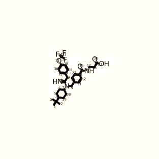 CC(C)(C)C1CCC(N(Cc2ccc(C(=O)NCCC(=O)O)cc2)C(=N)Cc2ccc(OC(F)(F)F)cc2)CC1